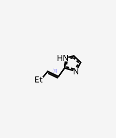 [CH2]C/C=C/c1ncc[nH]1